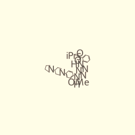 COc1cc(N2CCC(N3CCCC3)CC2)ccc1Nc1ncnc(Nc2ccccc2S(=O)(=O)C(C)C)n1